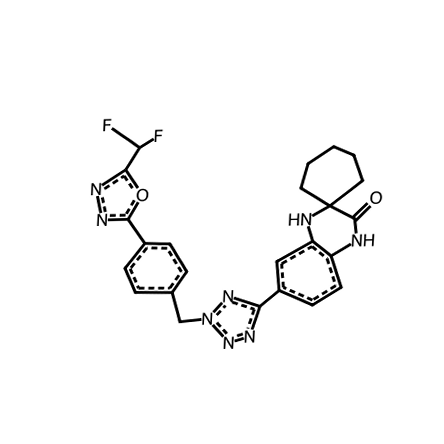 O=C1Nc2ccc(-c3nnn(Cc4ccc(-c5nnc(C(F)F)o5)cc4)n3)cc2NC12CCCCC2